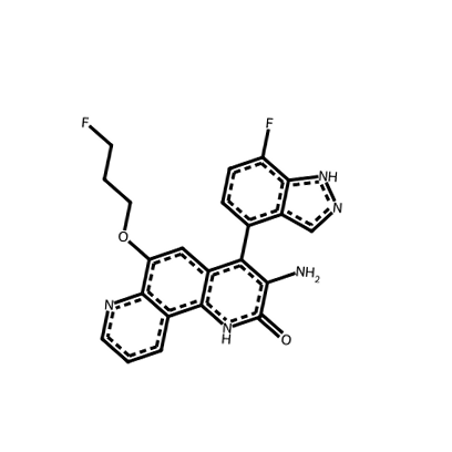 Nc1c(-c2ccc(F)c3[nH]ncc23)c2cc(OCCCF)c3ncccc3c2[nH]c1=O